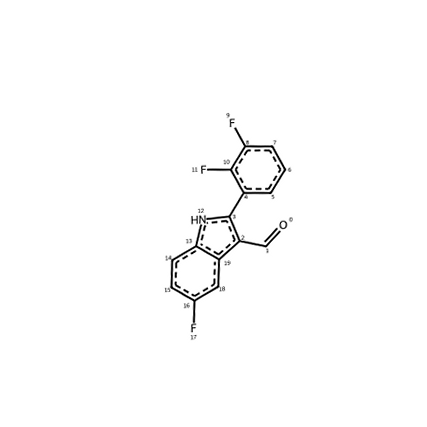 O=Cc1c(-c2cccc(F)c2F)[nH]c2ccc(F)cc12